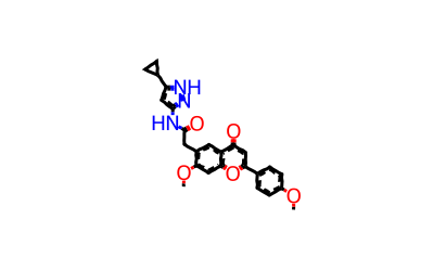 COc1ccc(-c2cc(=O)c3cc(CC(=O)Nc4cc(C5CC5)[nH]n4)c(OC)cc3o2)cc1